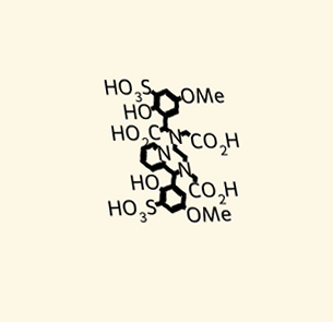 COc1cc(C(C(=O)O)N(CCN(CC(=O)O)C(c2ccccn2)c2cc(OC)cc(S(=O)(=O)O)c2O)CC(=O)O)c(O)c(S(=O)(=O)O)c1